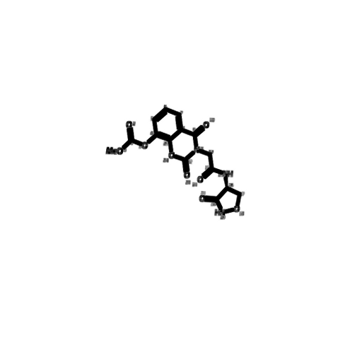 COC(=O)Oc1cccc2c(=O)n(CC(=O)N[C@H]3CONC3=O)c(=O)oc12